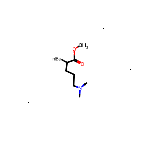 BOC(=O)C(CCCC)CCCN(C)C